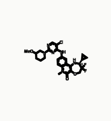 COC1CCCN(c2ncc(Cl)c(Nc3ccc4c(c3)c3c(c(=O)n4C)OCC(F)(F)[C@H](C4CC4)N3)n2)C1